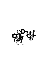 CCCC1NC(=O)C=CN1Cc1ccc2oc(-c3ccccc3NS(=O)(=O)C(F)(F)F)c(Br)c2c1